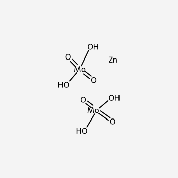 [O]=[Mo](=[O])([OH])[OH].[O]=[Mo](=[O])([OH])[OH].[Zn]